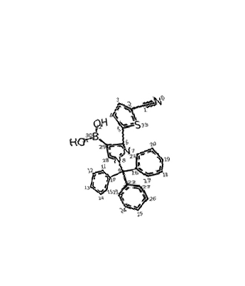 N#Cc1ccc(-c2nn(C(c3ccccc3)(c3ccccc3)c3ccccc3)cc2B(O)O)s1